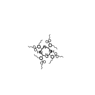 CCCCOC(=O)c1cc(CCCC)cc(-c2c3nc(c(-c4cc(CCCC)cc(C(=O)OCCCC)c4)c4ccc([nH]4)c(-c4cc(CCCC)cc(C(=O)OCCCC)c4)c4nc(c(-c5cc(CCCC)cc(C(=O)OCCCC)c5)c5ccc2[nH]5)C=C4)C=C3)c1